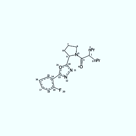 CCCC(CCC)C(=O)N1CCCC1c1nnc(-c2ccccc2F)o1